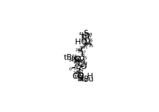 C=CC[C@@H](C(=O)C(C)(C)[C@H](CC(=O)O)O[Si](C)(C)C(C)(C)C)[C@@H](O[Si](C)(C)C(C)(C)C)[C@@H](C)CCCC(C)=CC[C@H](O)C(C)=Cc1csc(C)n1